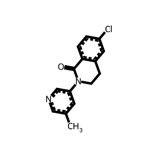 Cc1cncc(N2CCc3cc(Cl)ccc3C2=O)c1